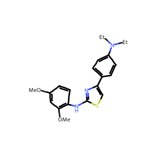 CCN(CC)c1ccc(-c2csc(Nc3ccc(OC)cc3OC)n2)cc1